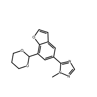 Cn1ncnc1-c1cc(C2OCCCO2)c2occc2c1